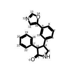 O=C1NCC(c2cccc(-c3cnco3)c2)C1c1ccccc1